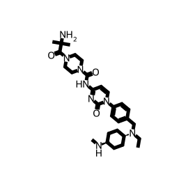 CCN(Cc1ccc(-n2ccc(NC(=O)N3CCN(C(=O)C(C)(C)N)CC3)nc2=O)cc1)[C@H]1CC[C@H](NC)CC1